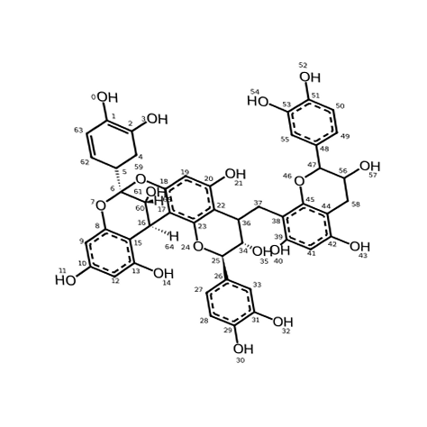 OC1=C(O)CC([C@]23Oc4cc(O)cc(O)c4[C@H](c4c(cc(O)c5c4O[C@H](c4ccc(O)c(O)c4)[C@@H](O)C5Cc4c(O)cc(O)c5c4OC(c4ccc(O)c(O)c4)C(O)C5)O2)[C@H]3O)C=C1